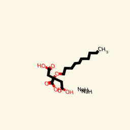 CCCCCCCCCCOC(CC(=O)O)(CC(=O)O)C(=O)O.[NaH].[NaH]